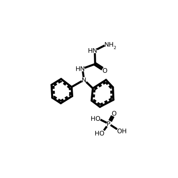 NNC(=O)NN(c1ccccc1)c1ccccc1.O=P(O)(O)O